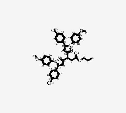 CCCOC(=O)CC(c1cc(-c2ccc(Cl)cc2)n(-c2ccc(OC)cc2)n1)c1cc(-c2ccc(Cl)cc2)n(-c2ccc(OC)cc2)n1